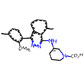 COc1cc(C)ccc1-c1nnc(N[C@@H]2CCCN(C(=O)O)C2)c2c(C)cccc12